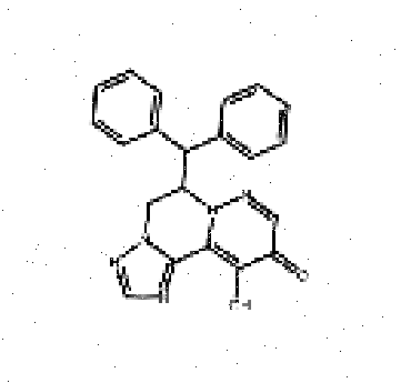 O=c1cnn2c(c1O)-c1ncnn1CC2C(c1ccccc1)c1ccccc1